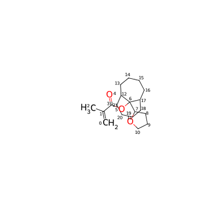 C=C(C)C(=O)OC1(C2CCCO2)C2CCCCC1CCCC2